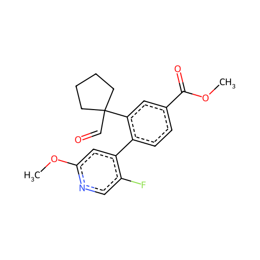 COC(=O)c1ccc(-c2cc(OC)ncc2F)c(C2(C=O)CCCC2)c1